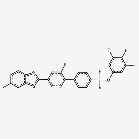 Cc1ccc2nc(-c3ccc(-c4ccc(C(F)(F)Oc5cc(F)c(F)c(F)c5)cc4)c(F)c3)sc2c1